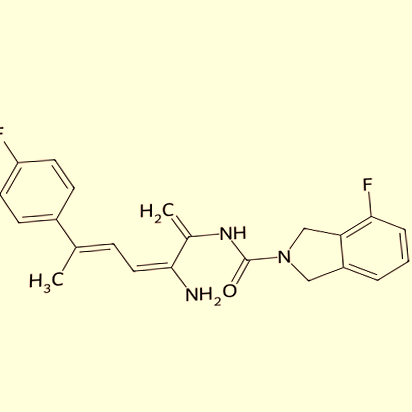 C=C(NC(=O)N1Cc2cccc(F)c2C1)/C(N)=C\C=C(/C)c1ccc(F)cc1